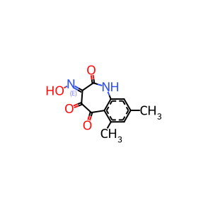 Cc1cc(C)c2c(c1)NC(=O)/C(=N/O)C(=O)C2=O